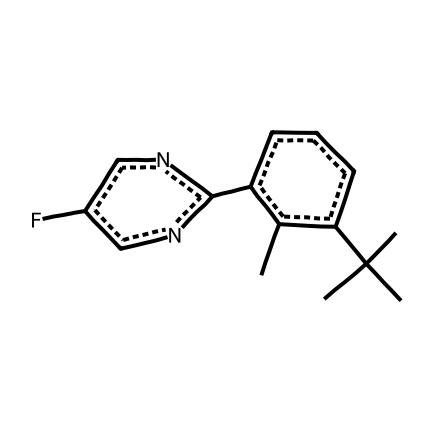 Cc1c(-c2ncc(F)cn2)cccc1C(C)(C)C